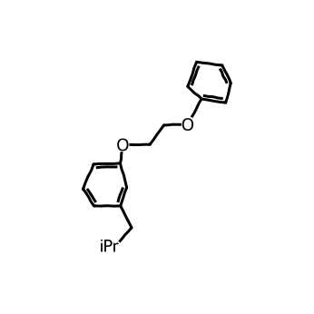 CC(C)Cc1cccc(OCCOc2ccccc2)c1